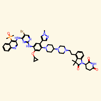 Cn1cc(-c2cc(Nc3ncc(Br)c(Nc4cnc5ccccc5c4P(C)(C)=O)n3)c(OC3CC3)cc2N2CCC(N3CCN(CCc4cccc5c4C(C)(C)C(=O)N5C4CCC(=O)NC4=O)CC3)CC2)cn1